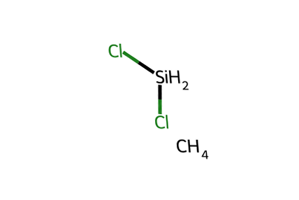 C.Cl[SiH2]Cl